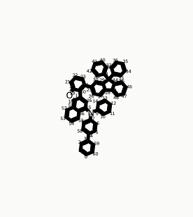 c1ccc(-c2ccc(N(c3ccccc3)c3cc4c(oc5cccc(-c6ccc7c(c6)C(c6ccccc6)(c6ccccc6)c6ccccc6-7)c54)c4ccccc34)cc2)cc1